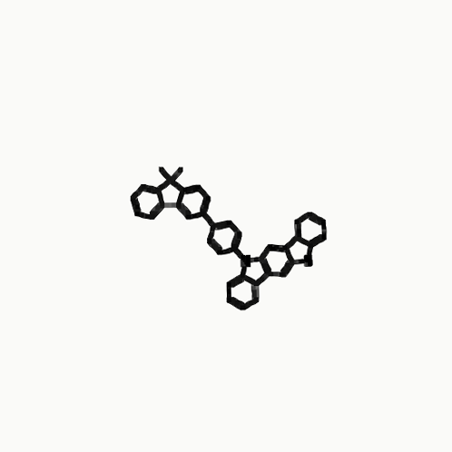 CC1(C)c2ccccc2-c2cc(-c3ccc(-n4c5ccccc5c5cc6sc7ccccc7c6cc54)cc3)ccc21